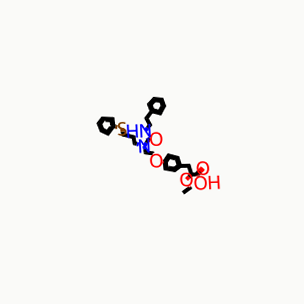 CCOC(Cc1ccc(OCCN(CCCSc2ccccc2)C(=O)NCCc2ccccc2)cc1)C(=O)O